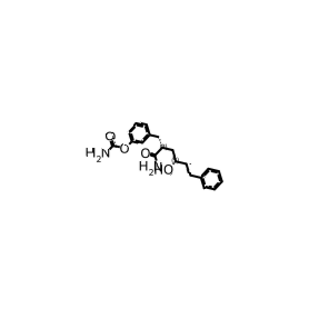 NC(=O)Oc1cccc(C[C@H](C[C@@H](O)[CH]Cc2ccccc2)C(N)=O)c1